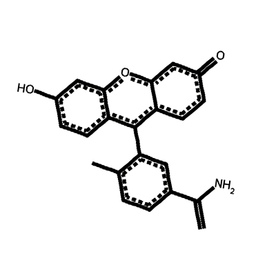 C=C(N)c1ccc(C)c(-c2c3ccc(=O)cc-3oc3cc(O)ccc23)c1